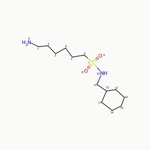 NCCCCCCS(=O)(=O)NCC1CCCCC1